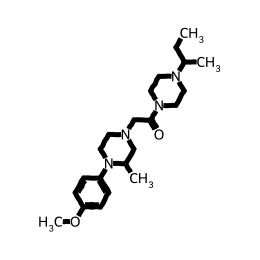 CCC(C)N1CCN(C(=O)CN2CCN(c3ccc(OC)cc3)C(C)C2)CC1